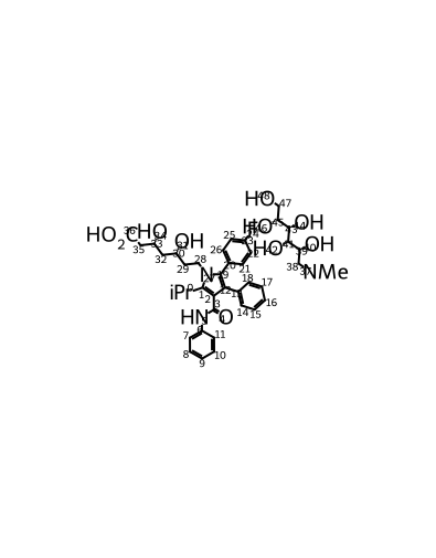 CC(C)c1c(C(=O)Nc2ccccc2)c(-c2ccccc2)c(-c2ccc(F)cc2)n1CC[C@@H](O)C[C@@H](O)CC(=O)O.CNC[C@H](O)[C@@H](O)[C@H](O)[C@H](O)CO